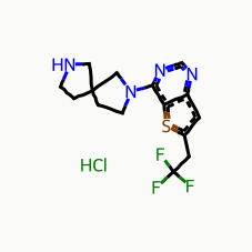 Cl.FC(F)(F)Cc1cc2ncnc(N3CCC4(CCNC4)C3)c2s1